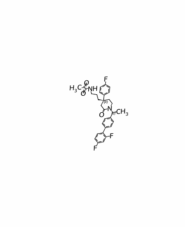 C[C@@H](c1ccc(-c2ccc(F)cc2F)cc1)N1CC[C@@](CCCNS(C)(=O)=O)(c2ccc(F)cc2)CC1=O